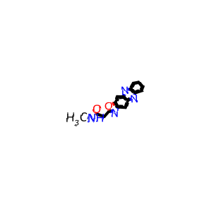 CNC(=O)Cc1nc2cc3nc4ccccc4nc3cc2o1